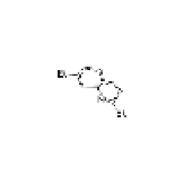 CCc1ccc2ccc(CC)nc2c1